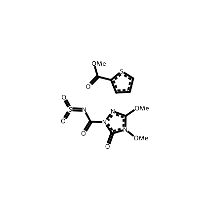 COC(=O)c1cccs1.COc1nn(C(=O)N=S(=O)=O)c(=O)n1OC